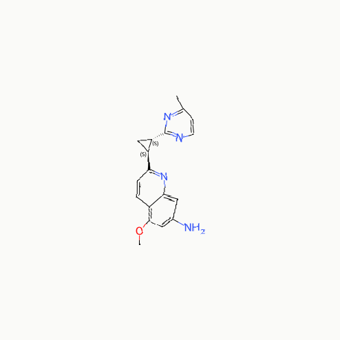 COc1cc(N)cc2nc([C@H]3C[C@@H]3c3nccc(C)n3)ccc12